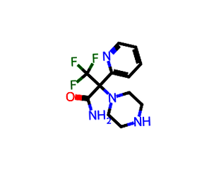 NC(=O)C(c1ccccn1)(N1CCNCC1)C(F)(F)F